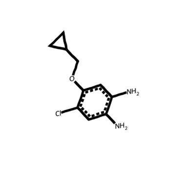 Nc1cc(Cl)c(OCC2CC2)cc1N